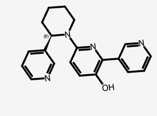 Oc1ccc(N2CCCC[C@@H]2c2cccnc2)nc1-c1cccnc1